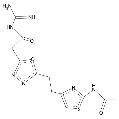 CC(=O)Nc1nc(CCc2nnc(CC(=O)NC(=N)N)o2)cs1